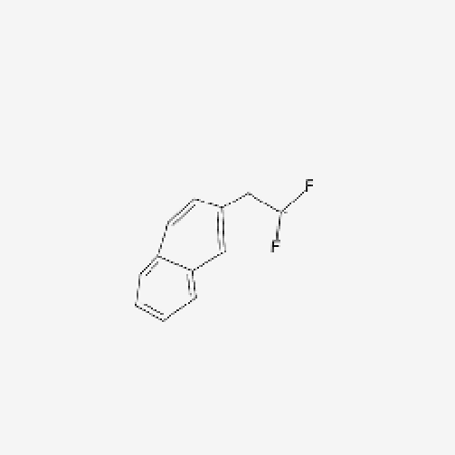 F[C](F)Cc1ccc2ccccc2c1